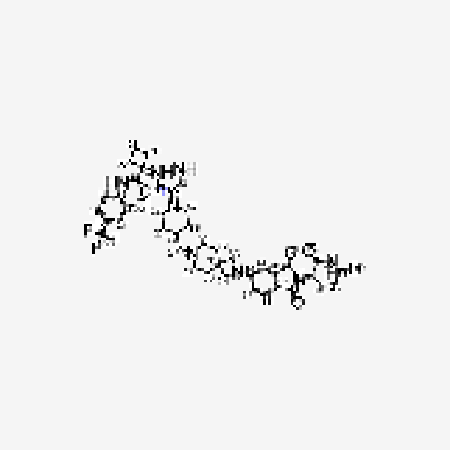 N=C/C(=C\NC1(C(=O)Nc2ccc(C(F)(F)F)cc2Cl)CCC1)N1CCC(CN2CCC3(CC2)CN(c2ccc4c(c2)C(=O)N(C2CCC(=O)NC2=O)C4=O)C3)CC1